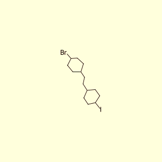 BrC1CCC(CCC2CCC(I)CC2)CC1